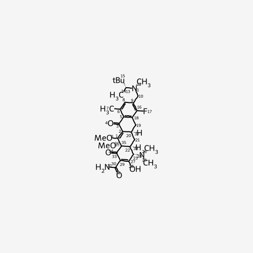 COC1=C2C(=O)c3c(C)cc(CN(C)[C@H](C)C(C)(C)C)c(F)c3C[C@H]2C[C@H]2[C@H](N(C)C)C(O)=C(C(N)=O)C(=O)[C@@]12OC